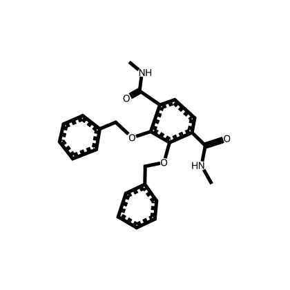 CNC(=O)c1ccc(C(=O)NC)c(OCc2ccccc2)c1OCc1ccccc1